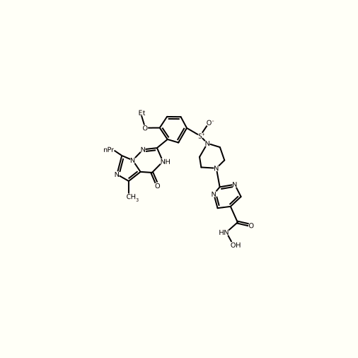 CCCc1nc(C)c2c(=O)[nH]c(-c3cc([S+]([O-])N4CCN(c5ncc(C(=O)NO)cn5)CC4)ccc3OCC)nn12